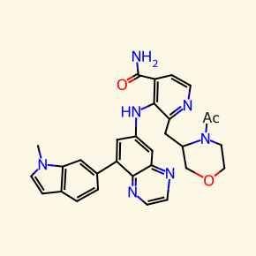 CC(=O)N1CCOCC1Cc1nccc(C(N)=O)c1Nc1cc(-c2ccc3ccn(C)c3c2)c2nccnc2c1